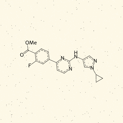 COC(=O)c1ccc(-c2ccnc(Nc3cnn(C4CC4)c3)n2)cc1F